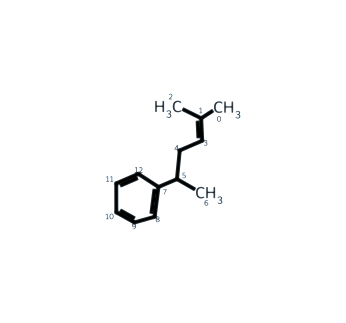 CC(C)=CCC(C)c1ccccc1